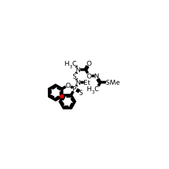 CCN(SN(C)C(=O)ON=C(C)SC)P(=S)(Oc1ccccc1)c1ccccc1